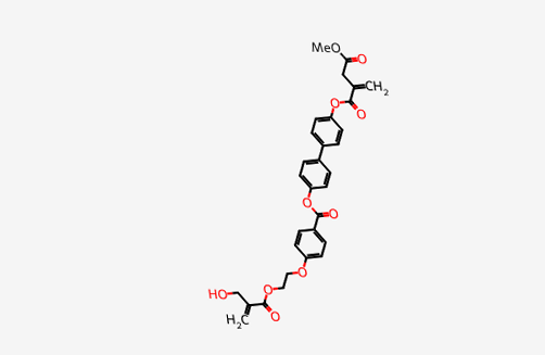 C=C(CO)C(=O)OCCOc1ccc(C(=O)Oc2ccc(-c3ccc(OC(=O)C(=C)CC(=O)OC)cc3)cc2)cc1